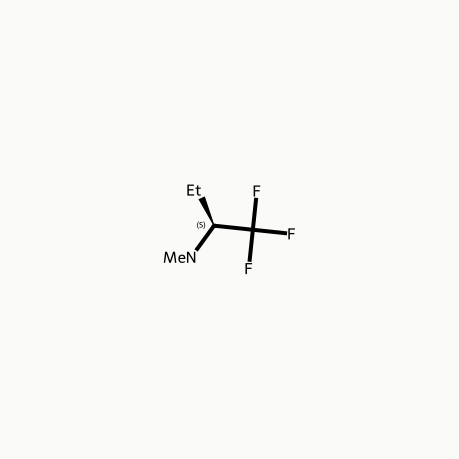 CC[C@H](NC)C(F)(F)F